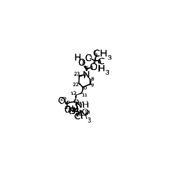 CC(C)(C)OC(=O)N1CCC(CC[C@@H](NS(C)(=O)=O)C(=O)O)CC1